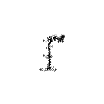 Nc1ncnc2c1c(C#CCNC(=O)CCSSCC(N)C(=O)NCCCCCC(=O)NC(CCC(=O)O)C(=O)O)cn2[C@H]1CC(O)[C@@H](COP(=O)(O)OP(=O)(O)OP(=O)(O)O)O1